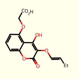 CCC=COc1c(O)c2c(OCC(=O)O)cccc2oc1=O